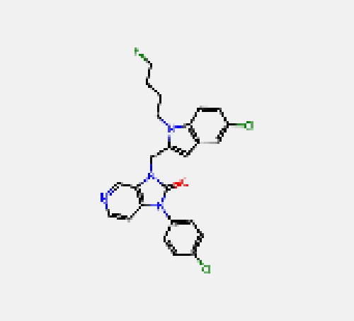 O=c1n(Cc2cc3cc(Cl)ccc3n2CCCCF)c2cnccc2n1-c1ccc(Cl)cc1